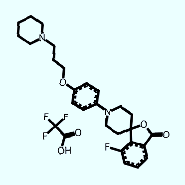 O=C(O)C(F)(F)F.O=C1OC2(CCN(c3ccc(OCCCN4CCCCC4)cc3)CC2)c2c(F)cccc21